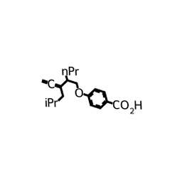 C=C=C(CC(C)C)C(CCC)COc1ccc(C(=O)O)cc1